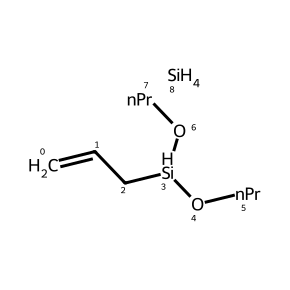 C=CC[SiH](OCCC)OCCC.[SiH4]